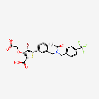 CC(=O)N(Cc1ccc(C(F)(F)F)cc1)Cc1cccc(-c2sc(C(=O)O)c(OCC(=O)O)c2Br)c1